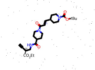 C#C[C@@H](CNC(=O)C1CCN(C(=O)/C=C/C2CCN(C(=O)OC(C)(C)C)CC2)CC1)C(=O)OCC